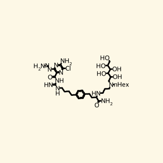 CCCCCCN(CCCNC(CCc1ccc(CCCCNC(=N)NC(=O)c2nc(Cl)c(N)nc2N=NN)cc1)C(N)=O)CC(O)C(O)C(O)C(O)CO